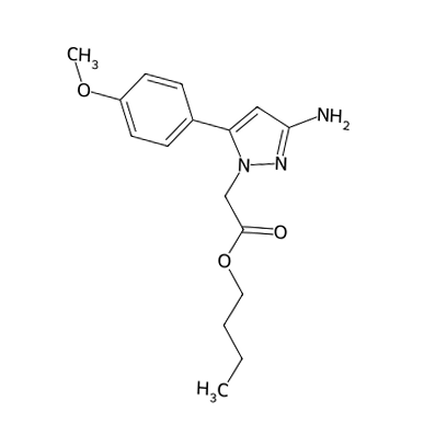 CCCCOC(=O)Cn1nc(N)cc1-c1ccc(OC)cc1